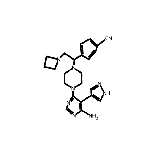 N#Cc1ccc(C(CN2CCC2)N2CCN(c3ncnc(N)c3-c3cn[nH]c3)CC2)cc1